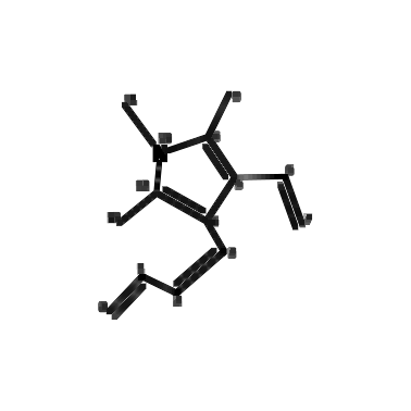 C=C/C=C\c1c(C=C)c(C)n(C)c1C